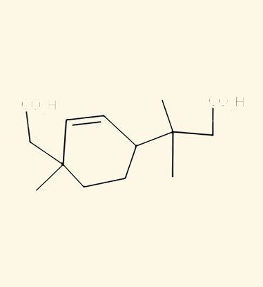 CC1(CC(=O)O)C=CC(C(C)(C)CC(=O)O)CC1